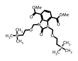 COC(=O)c1ccc(C(=O)OC)c2c1n(COCC[Si](C)(C)C)c(=O)n2COCC[Si](C)(C)C